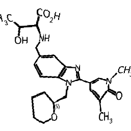 Cc1cc(-c2nc3cc(CNC(C(=O)O)C(C)O)ccc3n2C[C@@H]2CCCCO2)cn(C)c1=O